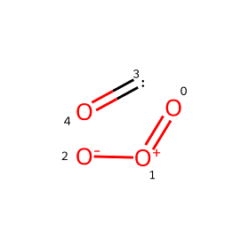 O=[O+][O-].[C]=O